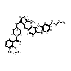 CCCCOc1c(C)cccc1C(=O)N1CCN(Cc2cnc(C)n2Cc2ccc(C#N)c(Oc3cccc(OCCO)c3)c2)CC1